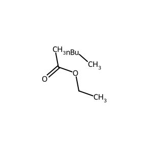 CCCCC.CCOC(C)=O